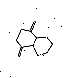 C=C1CCC(=C)C2CCCCC12